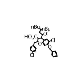 CCCCC(CCCC)CC(=O)C(c1ccc(OCc2ccccc2)c(Cl)c1)C(C(=O)O)C(=O)Cc1ccc(Cl)cc1